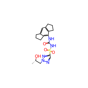 C[C@H](O)Cn1ncc(S(=O)(=O)NC(=O)Nc2c3c(cc4c2CCC4)CCC3)n1